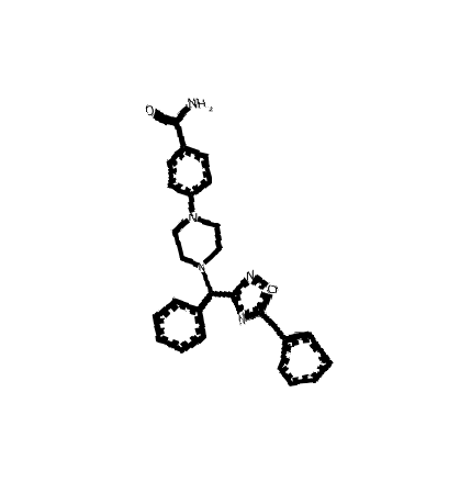 NC(=O)c1ccc(N2CCN(C(c3ccccc3)c3noc(-c4ccccc4)n3)CC2)cc1